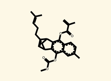 C=C(C)C(=O)Oc1c2c(c(OC(=O)OC)c3cc(C)ccc13)C1C=C(CCC=C(C)C)C2C1